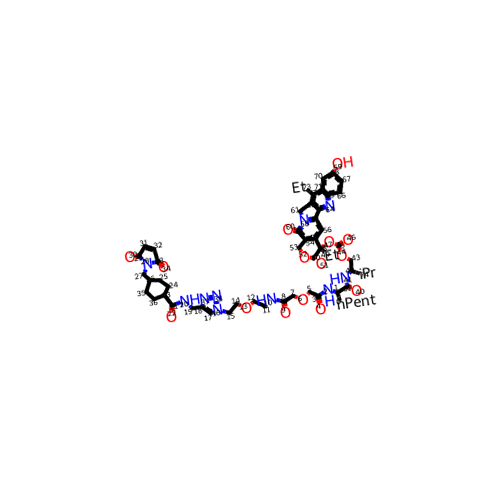 CCCCCC(NC(=O)COCC(=O)NCCOCCn1cc(CNC(=O)C2CCC(CN3C(=O)C=CC3=O)CC2)nn1)C(=O)NC(COC(=O)OC1(CC)C(=O)OCc2c1cc1n(c2=O)Cc2c-1nc1ccc(O)cc1c2CC)C(C)C